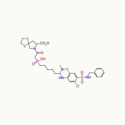 CN1Sc2cc(S(=O)(=O)NCc3ccccc3)c(Cl)cc2NC1CCCCCP(=O)(O)CC(=O)N1CC2(CC1C(=O)O)SCCS2